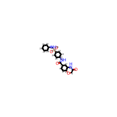 O=C1COc2ccc(C(=O)Nc3ccc(S(=O)(=O)Nc4ccccc4)cc3)cc2N1